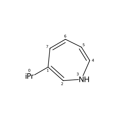 CC(C)C1=CNC=CC=C1